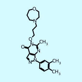 Cc1ccc(-n2ncc3c(=O)n(OCCCN4CCCOCC4)c(C)nc32)cc1C